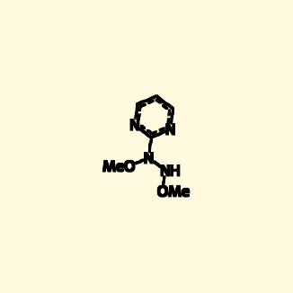 CONN(OC)c1ncccn1